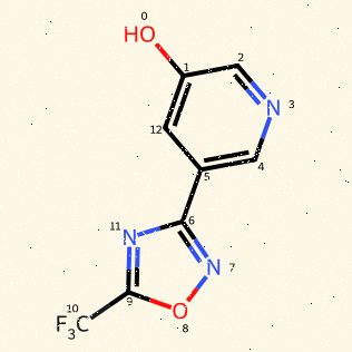 Oc1cncc(-c2noc(C(F)(F)F)n2)c1